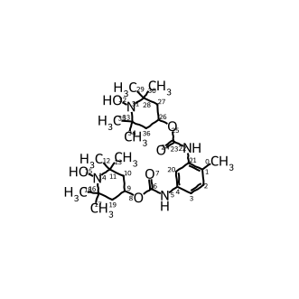 Cc1ccc(NC(=O)OC2CC(C)(C)N(O)C(C)(C)C2)cc1NC(=O)OC1CC(C)(C)N(O)C(C)(C)C1